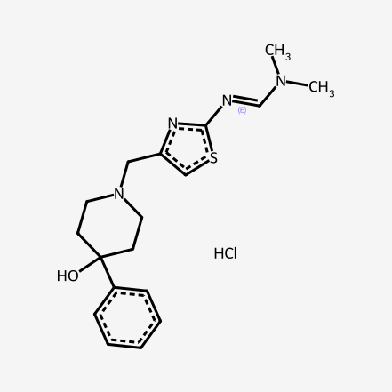 CN(C)/C=N/c1nc(CN2CCC(O)(c3ccccc3)CC2)cs1.Cl